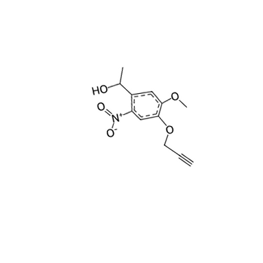 C#CCOc1cc([N+](=O)[O-])c(C(C)O)cc1OC